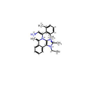 C=C1c2ccccc2-c2c(nc(C)n2CC(C)(C)C)N1/C(=C\N)c1c(C)cccc1C